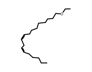 CCCCC/C=C\C/C=C\CCCCCCCCOCC